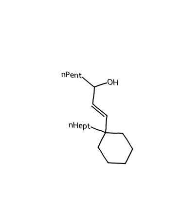 CCCCCCCC1(/C=C/C(O)CCCCC)CCCCC1